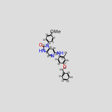 COc1ccc(-n2c(=O)[nH]c3cnc(Nc4ccc(OCc5ccccc5)cc4C)cc32)cc1